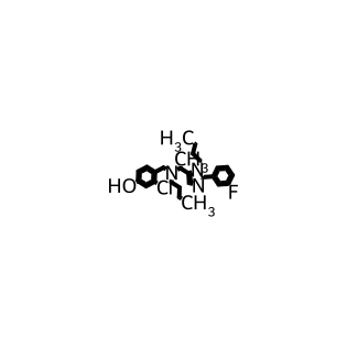 CCCCN(Cc1ccc(O)cc1Cl)C(C)c1cnc(-c2cccc(F)c2)n1CCCC